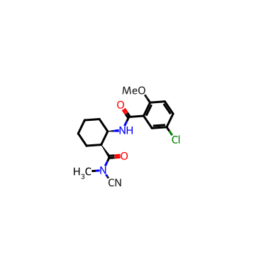 COc1ccc(Cl)cc1C(=O)N[C@@H]1CCCC[C@@H]1C(=O)N(C)C#N